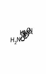 Cc1ccc(N)cc1S(=O)(=O)Nc1onc(C)c1C